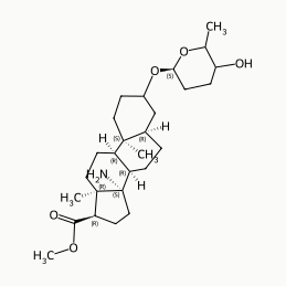 COC(=O)[C@@H]1CC[C@]2(N)[C@@H]3CC[C@@H]4CC(O[C@@H]5CCC(O)C(C)O5)CC[C@]4(C)[C@@H]3CC[C@]12C